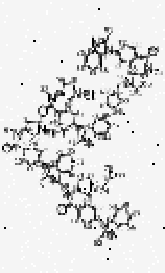 CCCN1CC[C@@H](N(C)C(=O)c2ccc(-n3c(C)nc4ccccc43)cc2)C1.CCN1CC[C@@H](N(C)C(=O)c2ccc(-n3c(C)nc4ccccc43)cc2)C1.Cc1nc2ccccc2n1-c1ccc(C(=O)N(C)[C@@H]2CCN(CC3CC3)C2)cc1.Cc1nc2ccccc2n1-c1ccc(C(=O)N(C)[C@@H]2CCN(CC3CCCC3)C2)cc1